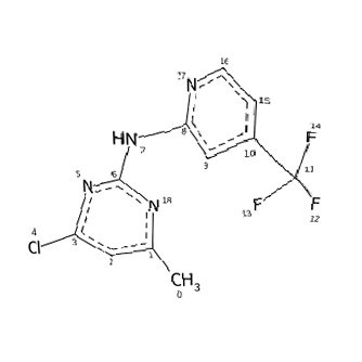 Cc1cc(Cl)nc(Nc2cc(C(F)(F)F)ccn2)n1